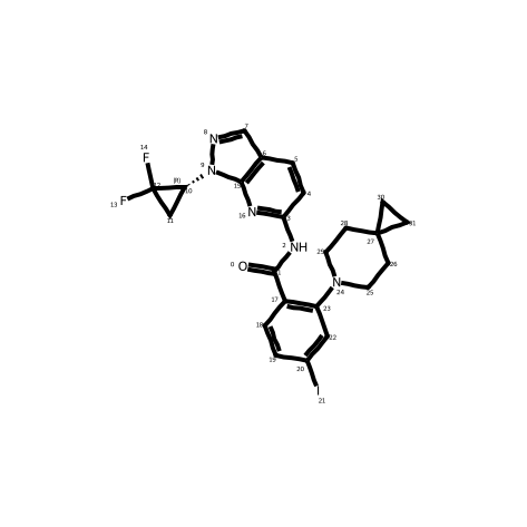 O=C(Nc1ccc2cnn([C@@H]3CC3(F)F)c2n1)c1ccc(I)cc1N1CCC2(CC1)CC2